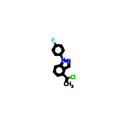 C=C(Cl)c1cccc2c1cnn2-c1ccc(F)cc1